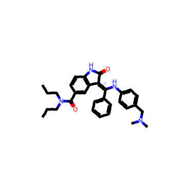 CCCN(CCC)C(=O)c1ccc2c(c1)/C(=C(/Nc1ccc(CN(C)C)cc1)c1ccccc1)C(=O)N2